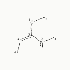 C/C=C(\NC)OC